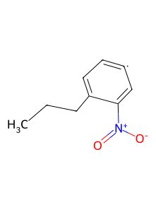 CCCc1cc[c]cc1[N+](=O)[O-]